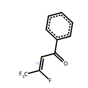 O=C(/C=C(\F)C(F)(F)F)c1ccccc1